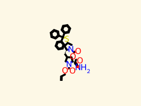 C=CCOC(=O)N1C[C@@H](SC(c2ccccc2)(c2ccccc2)c2ccccc2)C[C@H]1CC1C[C@@H](C(N)=O)N(C(=O)OCC=C)C1